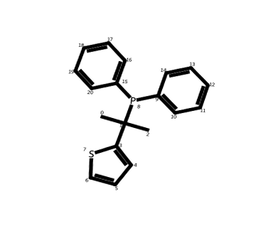 CC(C)(c1cccs1)P(c1ccccc1)c1ccccc1